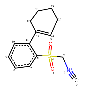 [C-]#[N+]CS(=O)(=O)c1ccccc1C1=CCCCC1